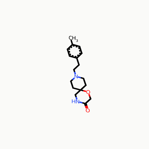 Cc1ccc(CCN2CCC3(CC2)CNC(=O)CO3)cc1